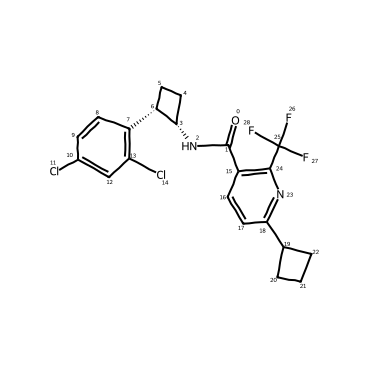 O=C(N[C@H]1CC[C@H]1c1ccc(Cl)cc1Cl)c1ccc(C2CCC2)nc1C(F)(F)F